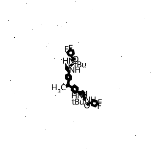 CC1C(c2ccc(-c3cnc(C(NC(=O)C4CCC(F)(F)CC4)C(C)(C)C)[nH]3)cc2)C1c1ccc(-c2cnc([C@@H](NC(=O)C3CCC(F)(F)CC3)C(C)(C)C)[nH]2)cc1